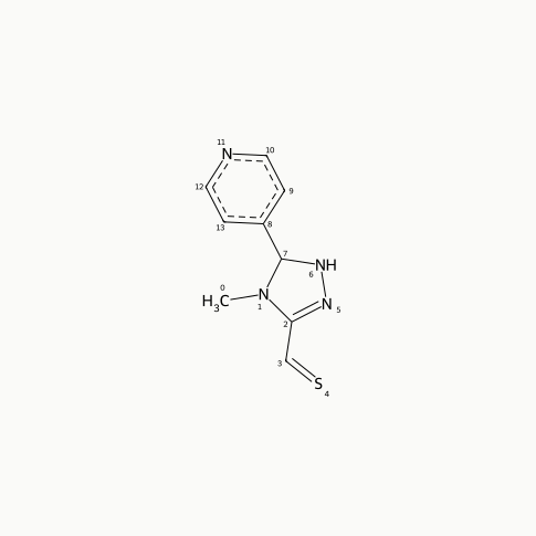 CN1C(C=S)=NNC1c1ccncc1